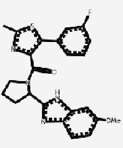 COc1ccc2nc(C3CCCN3C(=O)c3nc(C)sc3-c3cccc(F)c3)[nH]c2c1